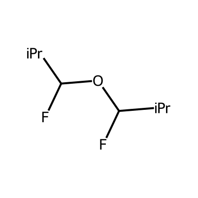 CC(C)C(F)OC(F)C(C)C